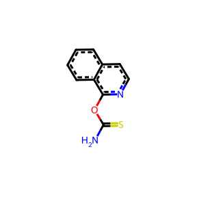 NC(=S)Oc1nccc2ccccc12